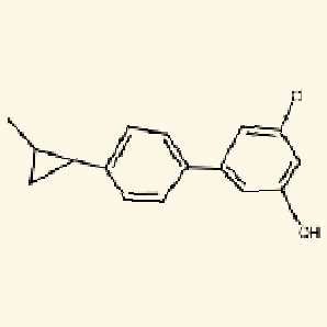 CC1CC1c1ccc(-c2cc(O)cc(Cl)c2)cc1